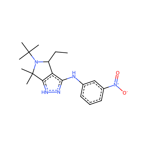 CCC1c2c(Nc3cccc([N+](=O)[O-])c3)n[nH]c2C(C)(C)N1C(C)(C)C